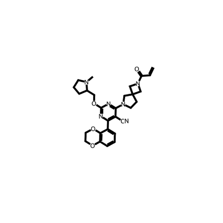 C=CC(=O)N1CC2(CCN(c3nc(OCC4CCCN4C)nc(-c4cccc5c4OCCO5)c3C#N)C2)C1